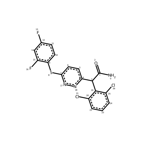 NC(=O)C(c1ccc(Sc2ccc(F)cc2F)nn1)c1c(Cl)cccc1Cl